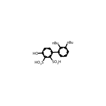 CCCCc1cccc(-c2ccc(O)c(S(=O)(=O)O)c2S(=O)(=O)O)c1CCCC